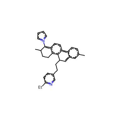 CCc1ccc(CCC2C=c3cc(C)ccc3=c3ccc4c(c32)CCC(C)C=4n2cccc2)cn1